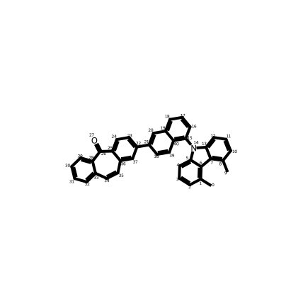 Cc1cccc2c1c1c(C)cccc1n2-c1cccc2cc(-c3ccc4c(=O)c5ccccc5ccc4c3)ccc12